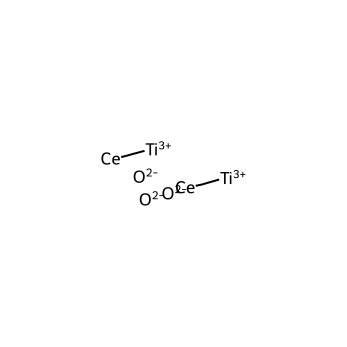 [O-2].[O-2].[O-2].[Ti+3][Ce].[Ti+3][Ce]